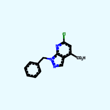 O=C(O)c1cc(Cl)nc2c1cnn2Cc1ccccc1